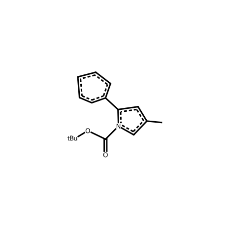 Cc1cc(-c2ccccc2)n(C(=O)OC(C)(C)C)c1